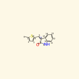 Cc1ccc(/C=C2\C(=O)Nc3ccccc32)s1